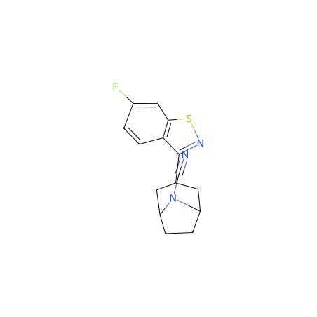 N#CN1C2CCC1CC(c1nsc3cc(F)ccc13)C2